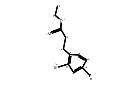 CCOC(=O)CCc1ccc(F)cc1Br